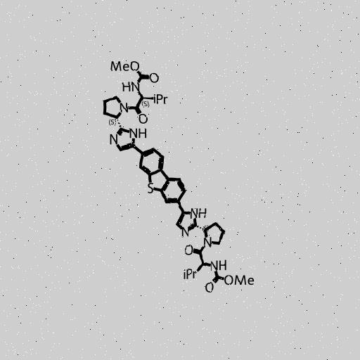 COC(=O)NC(C(=O)N1CCC[C@H]1c1ncc(-c2ccc3c(c2)sc2cc(-c4cnc([C@@H]5CCCN5C(=O)[C@@H](NC(=O)OC)C(C)C)[nH]4)ccc23)[nH]1)C(C)C